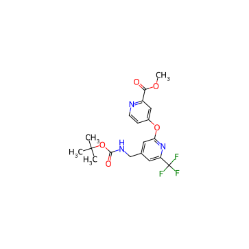 COC(=O)c1cc(Oc2cc(CNC(=O)OC(C)(C)C)cc(C(F)(F)F)n2)ccn1